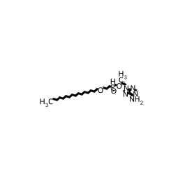 CCCCCCCCCCCCCCCCOCCC[PH](=O)CO[C@H](C)Cn1cnc2c(N)ncnc21